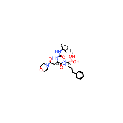 CC(C)NC(=O)N[C@H](CC(=O)N1CCOCC1)C(=O)N[C@@H](CCCc1ccccc1)B(O)O